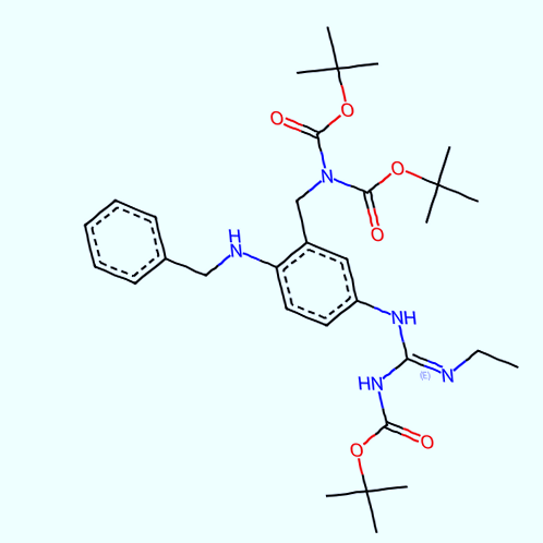 CC/N=C(/NC(=O)OC(C)(C)C)Nc1ccc(NCc2ccccc2)c(CN(C(=O)OC(C)(C)C)C(=O)OC(C)(C)C)c1